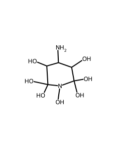 NC1C(O)C(O)(O)N(O)C(O)(O)C1O